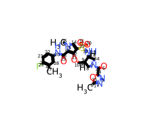 Cc1nnc(C(=O)N2C[C@H]3COc4c(cn(C)c4C(=O)Nc4ccc(F)c(C)c4)S(=O)(=O)N[C@@H]3C2)o1